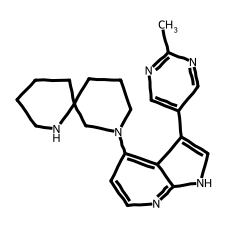 Cc1ncc(-c2c[nH]c3nccc(N4CCCC5(CCCCN5)C4)c23)cn1